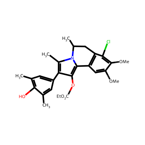 CCOC(=O)Oc1c(-c2cc(C)c(O)c(C)c2)c(C)n2c1-c1cc(OC)c(OC)c(Cl)c1CC2C